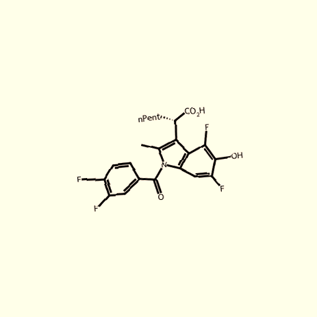 CCCCC[C@H](C(=O)O)c1c(C)n(C(=O)c2ccc(F)c(F)c2)c2cc(F)c(O)c(F)c12